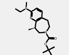 CCN(C)c1ccc2c(n1)[C@H](C)CN(C(=O)OC(C)(C)C)CC2